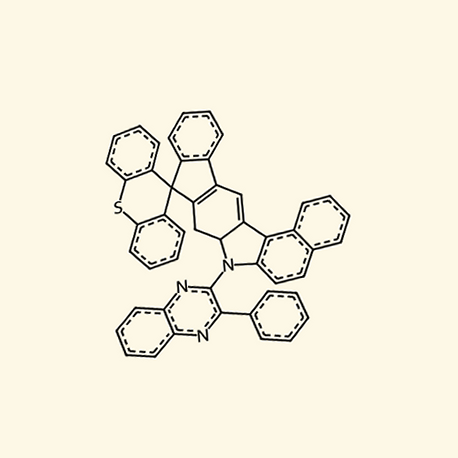 C1=C2c3c(ccc4ccccc34)N(c3nc4ccccc4nc3-c3ccccc3)C2CC2=C1c1ccccc1C21c2ccccc2Sc2ccccc21